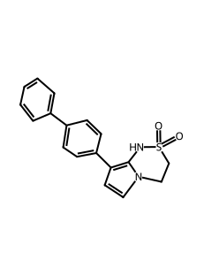 O=S1(=O)CCn2ccc(-c3ccc(-c4ccccc4)cc3)c2N1